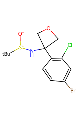 CC(C)(C)[S+]([O-])NC1(c2ccc(Br)cc2Cl)COC1